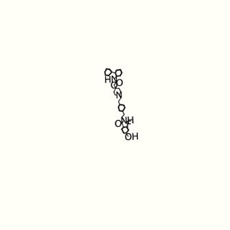 O=C(Nc1ccccc1-c1ccccc1)OC1CCN(CCc2ccc(CCNC(=O)c3ccc(O)cc3F)cc2)CC1